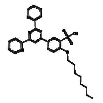 CCCCCCCCOc1ccc(-c2cc(-c3ccccn3)nc(-c3ccccn3)c2)cc1S(=O)(=O)O